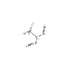 O=C[C-](C=O)[N+](=O)[O-]